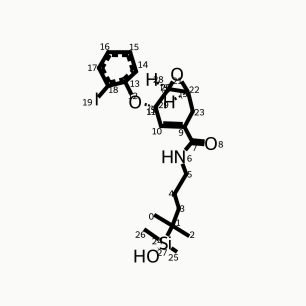 CC(C)(CCCNC(=O)C1=C[C@H](Oc2ccccc2I)[C@H]2O[C@H]2C1)[Si](C)(C)O